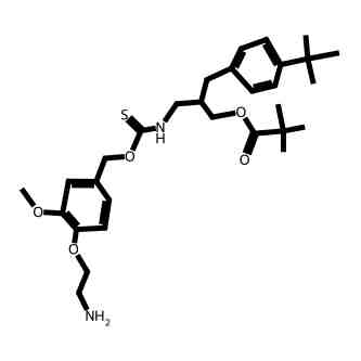 COc1cc(COC(=S)NCC(COC(=O)C(C)(C)C)Cc2ccc(C(C)(C)C)cc2)ccc1OCCN